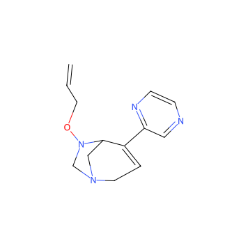 C=CCON1CN2CC=C(c3cnccn3)C1C2